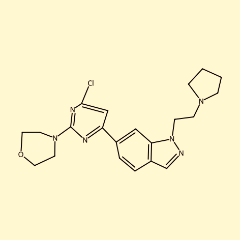 Clc1cc(-c2ccc3cnn(CCN4CCCC4)c3c2)nc(N2CCOCC2)n1